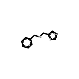 c1ccc(CNCc2cncs2)cc1